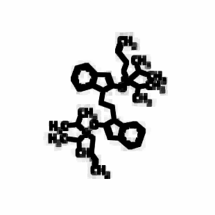 C=CCC[Si](OC1=Cc2ccccc2[C]1CC[C]1C(O[Si](CCC=C)(C(C)C)C(C)C)=Cc2ccccc21)(C(C)C)C(C)C